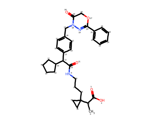 CC(C(=O)O)C1(CCCNC(=O)C(c2ccc(CN3N=C(c4ccccc4)OCC3=O)cc2)C2CCCC2)CC1